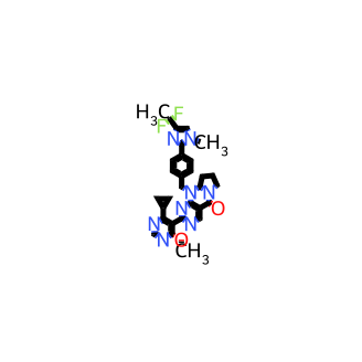 COc1ncnc(C2CC2)c1-c1ncc2c(n1)N(Cc1ccc(-c3nc(C(C)(F)F)cn3C)cc1)C1CCCN1C2=O